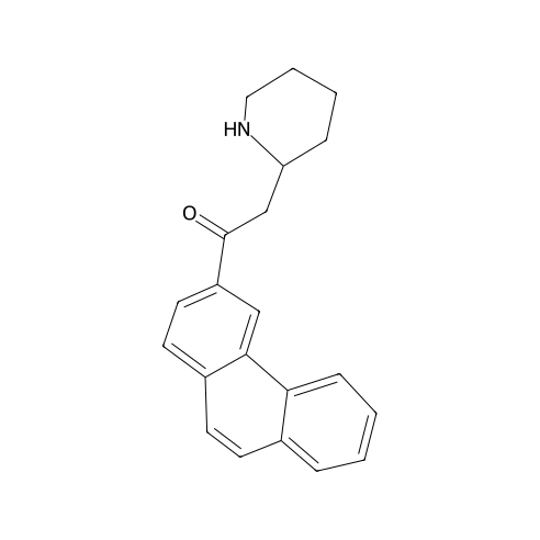 O=C(CC1CCCCN1)c1ccc2ccc3ccccc3c2c1